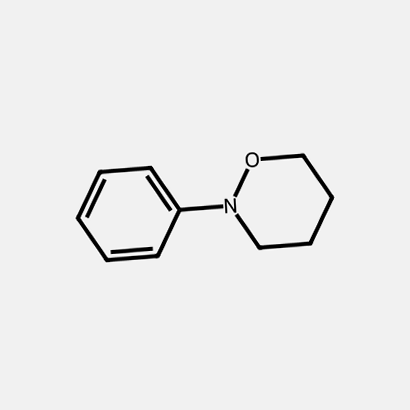 c1ccc(N2CCCCO2)cc1